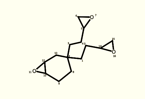 C(CC1(CCC2CO2)CCC2OC2C1)C1CO1